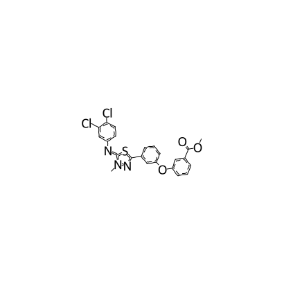 COC(=O)c1cccc(Oc2cccc(-c3nn(C)c(=Nc4ccc(Cl)c(Cl)c4)s3)c2)c1